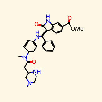 COC(=O)c1ccc2c(c1)NC(=O)/C2=C(\Nc1ccc(N(C)C(=O)CC2CN(C)CCN2)cc1)c1ccccc1